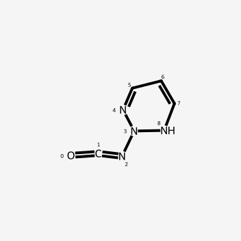 O=C=NN1N=CC=CN1